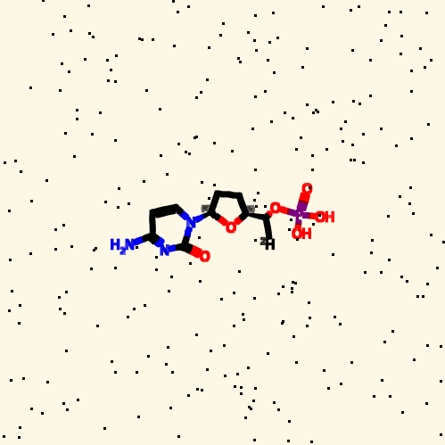 [2H]C(OP(=O)(O)O)[C@@H]1CC[C@H](n2ccc(N)nc2=O)O1